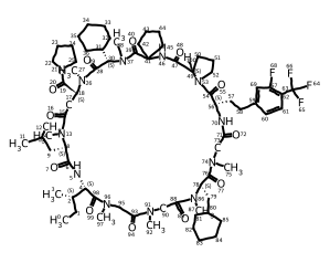 CC[C@H](C)[C@@H]1NC(=O)[C@H](CC(C)C)N(C)C(=O)C[C@@H](C(=O)N2CCCC2)N(C)C(=O)[C@H](C2CCCCC2)N(C)C(=O)C2(CCCC2)NC(=O)[C@@H]2CCCN2C(=O)[C@H](CCc2ccc(C(F)(F)F)c(F)c2)NC(=O)CN(C)C(=O)[C@H](CC2CCCCC2)N(C)C(=O)CN(C)C(=O)CN(C)C1=O